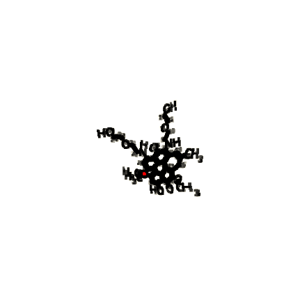 COc1c2c3c4c(c(NCCOCCO)c(=O)c5c(NCCOCCO)cc(OC)c(c6c(OC)cc(O)c(c1=O)c63)c54)C=C(C)C2